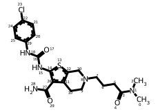 CN(C)C(=O)CCCN1CCc2c(sc(NC(=O)Nc3ccc(Cl)cc3)c2C(N)=O)C1